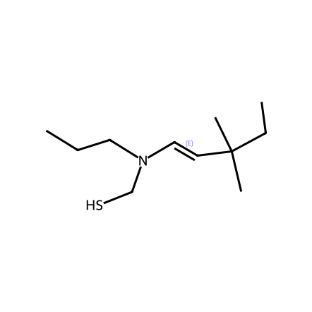 CCCN(/C=C/C(C)(C)CC)CS